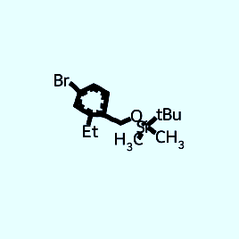 CCc1cc(Br)ccc1CO[Si](C)(C)C(C)(C)C